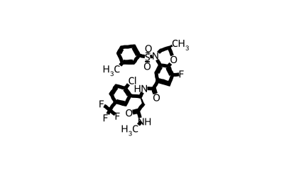 CNC(=O)C[C@H](NC(=O)c1cc(F)c2c(c1)N(S(=O)(=O)c1cccc(C)c1)C[C@@H](C)O2)c1cc(C(F)(F)F)ccc1Cl